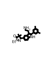 CCN1N=C(c2ccc3[nH]c(-c4cc(C)cc(C)c4)c(CCN)c3c2)C(C)(C)C1=O